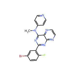 CN(c1ccncc1)c1nc(-c2cc(Br)ccc2F)nc2nccnc12